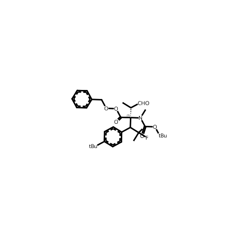 CC(C=O)[C@@](C(=O)OOCc1ccccc1)(C(c1ccc(C(C)(C)C)cc1)C(C)(C)F)N(C)C(=O)OC(C)(C)C